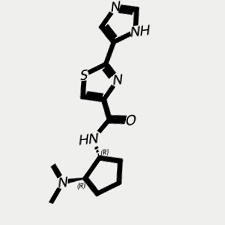 CN(C)[C@@H]1CCC[C@H]1NC(=O)c1csc(-c2cnc[nH]2)n1